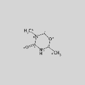 CC1NC(=O)N(C)CO1